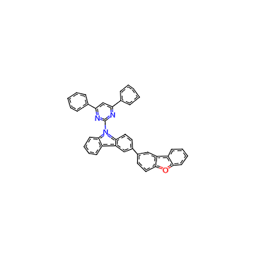 c1ccc(-c2cc(-c3ccccc3)nc(-n3c4ccccc4c4cc(-c5ccc6oc7ccccc7c6c5)ccc43)n2)cc1